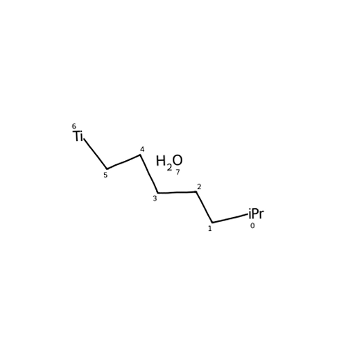 CC(C)CCCC[CH2][Ti].O